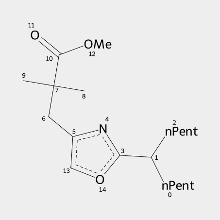 CCCCCC(CCCCC)c1nc(CC(C)(C)C(=O)OC)co1